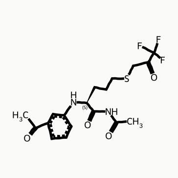 CC(=O)NC(=O)[C@H](CCCSCC(=O)C(F)(F)F)Nc1cccc(C(C)=O)c1